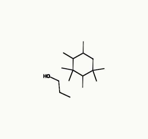 CC1CC(C)(C)C(C)C(C)(C)C1C.CCCO